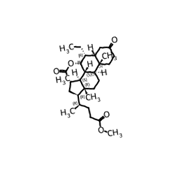 CC[C@H]1[C@@H](OC(C)=O)[C@@H]2[C@H](CC[C@]3(C)[C@@H]([C@H](C)CCC(=O)OC)CC[C@@H]23)[C@@]2(C)CCC(=O)C[C@@H]12